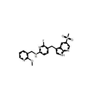 COc1ncccc1CNc1ccc(Cc2c[nH]c3ncc(S(C)(=O)=O)cc23)c(F)n1